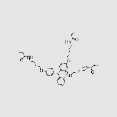 C=CC(=O)NCCCCOC(=O)c1ccccc1C(c1ccc(OCCCCNC(=O)C=C)cc1)c1ccc(OCCCCNC(=O)C=C)cc1